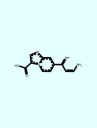 N=C(/C=C\N)c1ccn2c(C(=O)O)cnc2c1